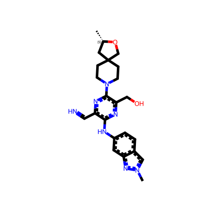 C[C@H]1CC2(CCN(c3nc(C=N)c(Nc4ccc5cn(C)nc5c4)nc3CO)CC2)CO1